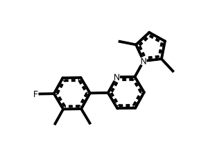 Cc1c(F)ccc(-c2cccc(-n3c(C)ccc3C)n2)c1C